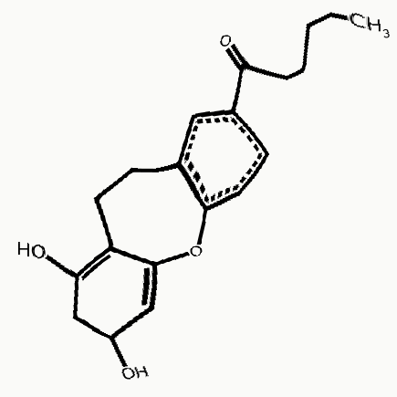 CCCC(=O)c1ccc2c(c1)CCC1=C(O)CC(O)C=C1O2